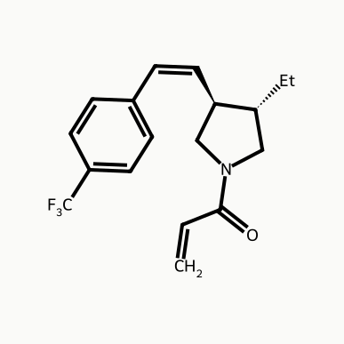 C=CC(=O)N1C[C@@H](CC)[C@H](/C=C\c2ccc(C(F)(F)F)cc2)C1